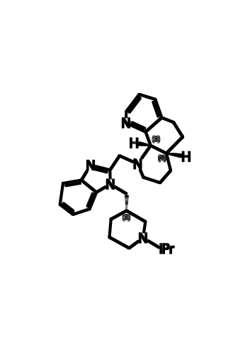 CC(C)N1CCC[C@H](Cn2c(CN3CCC[C@H]4CCc5cccnc5[C@H]43)nc3ccccc32)C1